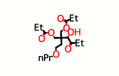 CCCOCCC(COC(=O)CC)(COC(=O)CC)C(O)C(=O)CC